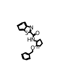 O=C(N[C@H]1CCC[C@@H]1OCc1ccccc1)c1nc2ccccc2s1